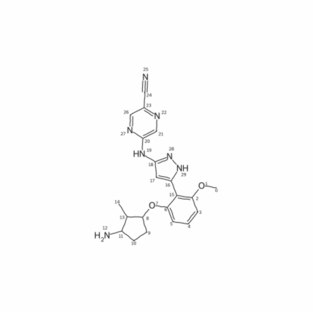 COc1cccc(OC2CCC(N)C2C)c1-c1cc(Nc2cnc(C#N)cn2)n[nH]1